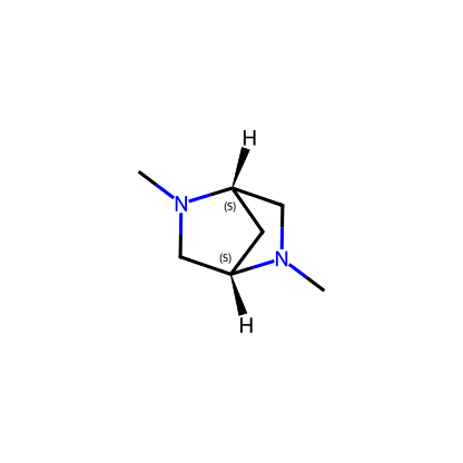 CN1C[C@@H]2C[C@H]1CN2C